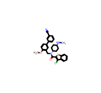 CN[C@H]1CC[C@H](N(Cc2cc(-c3cccc(C#N)c3)ccc2OC)C(=O)c2sc3ccccc3c2Cl)CC1